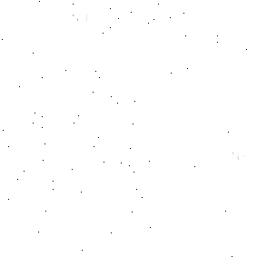 Nc1ccc(Oc2ccc(CCCc3ccc(Oc4ccc(N)cc4)cc3)cc2)cc1